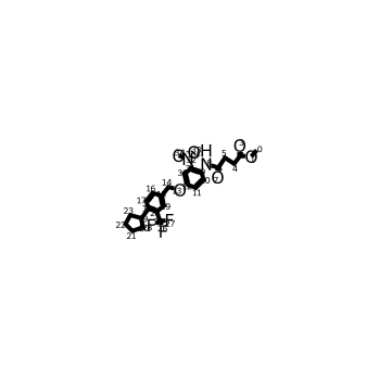 COC(=O)CCC(=O)Nc1ccc(OCc2ccc(C3CCCC3)c(C(F)(F)F)c2)cc1[N+](=O)[O-]